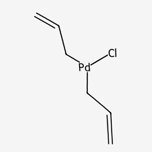 C=C[CH2][Pd]([Cl])[CH2]C=C